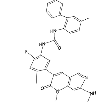 CNc1cc2c(cn1)cc(-c1cc(NC(=O)Nc3ccc(C)cc3-c3ccccc3)c(F)cc1C)c(=O)n2C